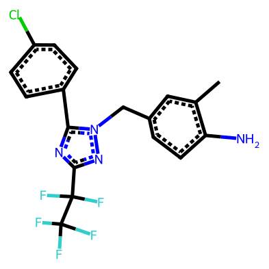 Cc1cc(Cn2nc(C(F)(F)C(F)(F)F)nc2-c2ccc(Cl)cc2)ccc1N